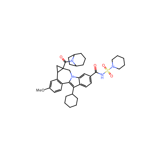 COc1ccc2c(c1)C1CC1(C(=O)N1C3CCCC1CC3)Cn1c-2c(C2CCCCC2)c2ccc(C(=O)NS(=O)(=O)N3CCCCC3)cc21